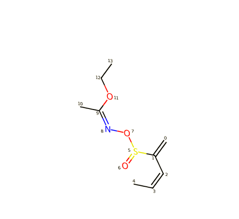 C=C(/C=C\C)S(=O)O/N=C(/C)OCC